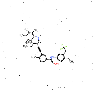 CCCC(/N=C\C(C#Cc1cc(/C(=C/O)Nc2ccc(CC)c(CC(F)(F)F)c2)ccc1C)=C(/C)CC)=C(/C)C(C)CC